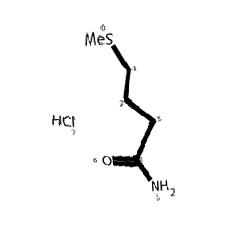 CSCCCC(N)=O.Cl